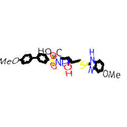 COc1ccc(-c2ccc(S(=O)(=O)NC(CC(O)CSc3nc4cc(OC)ccc4[nH]3)C(=O)O)cc2)cc1